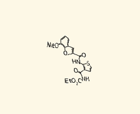 CCOC(=O)NC(=O)c1ccsc1NC(=O)C1=Cc2cccc(OC)c2OC1